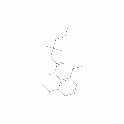 CCCC(C)(C)NC(=O)N(S)c1c(CC)cccc1CC